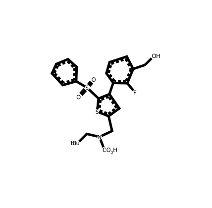 CC(C)(C)CN(Cc1cc(-c2cccc(CO)c2F)c(S(=O)(=O)c2ccccc2)s1)C(=O)O